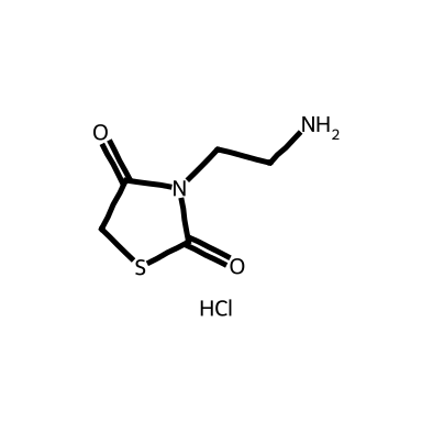 Cl.NCCN1C(=O)CSC1=O